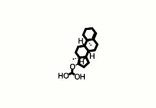 C[C@]12CC[C@H]3[C@@H](CCC4=CCCC[C@@]43C)[C@@H]1CC[C@@H]2OC(O)O